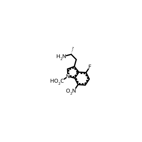 C[C@@H](N)Cc1cn(C(=O)O)c2c([N+](=O)[O-])ccc(F)c12